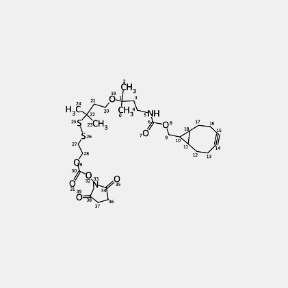 CC(C)(CCNC(=O)OCC1C2CCC#CCCC21)OCCC(C)(C)SSCCOC(=O)ON1C(=O)CCC1=O